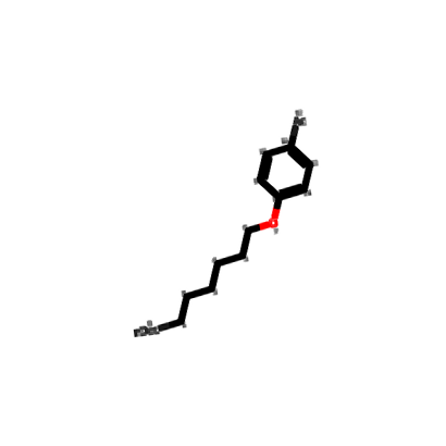 CCCCCCCCCCCCCCCCOc1ccc(C(C)=O)cc1